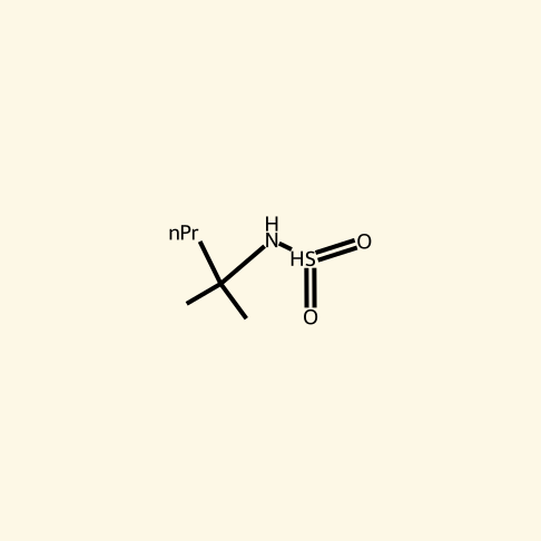 CCCC(C)(C)N[SH](=O)=O